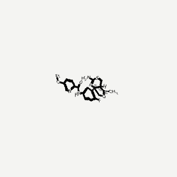 CCOc1ccc(C(=O)Nc2ccc(F)c([C@]34CO[C@H](C)[C@H]3CSC(N)=N4)c2)nc1